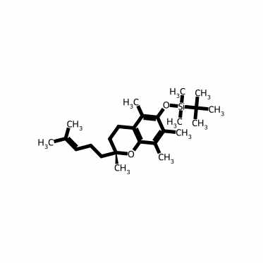 CC(C)=CCC[C@]1(C)CCc2c(C)c(O[Si](C)(C)C(C)(C)C)c(C)c(C)c2O1